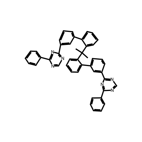 CC(C)(c1ccccc1-c1cccc(-c2ncnc(-c3ccccc3)n2)c1)c1ccccc1-c1cccc(-c2ncnc(-c3ccccc3)n2)c1